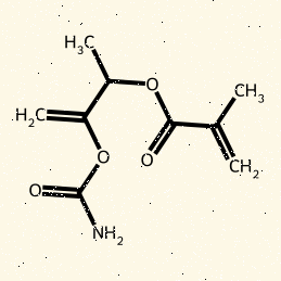 C=C(C)C(=O)OC(C)C(=C)OC(N)=O